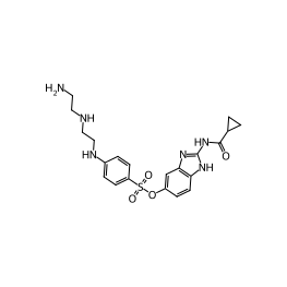 NCCNCCNc1ccc(S(=O)(=O)Oc2ccc3[nH]c(NC(=O)C4CC4)nc3c2)cc1